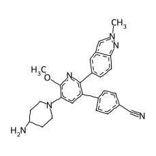 COc1nc(-c2ccc3nn(C)cc3c2)c(-c2ccc(C#N)cc2)cc1N1CCC(N)CC1